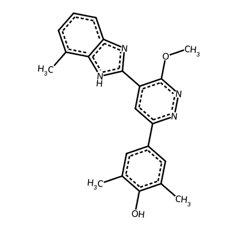 COc1nnc(-c2cc(C)c(O)c(C)c2)cc1-c1nc2cccc(C)c2[nH]1